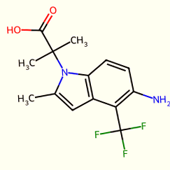 Cc1cc2c(C(F)(F)F)c(N)ccc2n1C(C)(C)C(=O)O